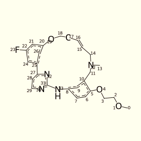 COCCOc1ccc2cc1CN(C)C/C=C/CCOc1cc(F)cc(c1)-c1ccnc(n1)N2